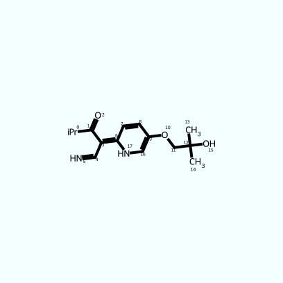 CC(C)C(=O)/C(C=N)=C1\C=CC(OCC(C)(C)O)=CN1